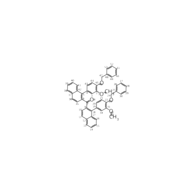 COc1cc(-c2c(C(=O)c3ccc4ccccc4c3-c3ccc(OCc4ccccc4)c(OC)c3)ccc3ccccc23)ccc1OCc1ccccc1